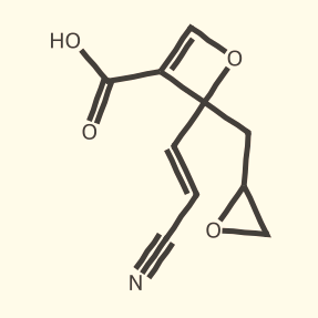 N#CC=CC1(CC2CO2)OC=C1C(=O)O